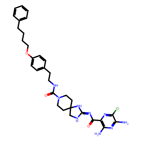 Nc1nc(N)c(C(=O)/N=C2\NCC3(CCN(C(=O)NCCc4ccc(OCCCCc5ccccc5)cc4)CC3)N2)nc1Cl